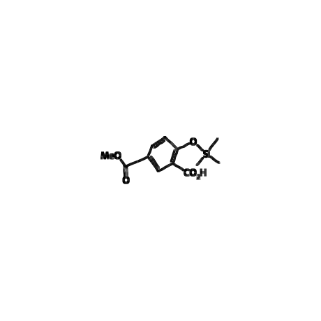 COC(=O)c1ccc(O[Si](C)(C)C)c(C(=O)O)c1